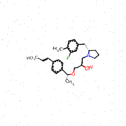 Cc1ccc(C[C@@H]2CCCN2C[C@@H](O)CO[C@H](C)c2ccc(/C=C/C(=O)O)cc2)cc1F